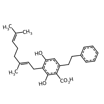 CC(C)=CCC/C(C)=C/Cc1c(O)cc(CCc2ccccc2)c(C(=O)O)c1O